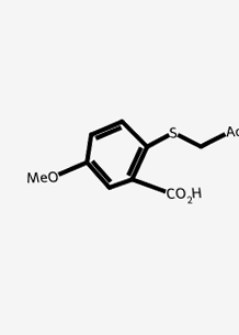 COc1ccc(SCC(C)=O)c(C(=O)O)c1